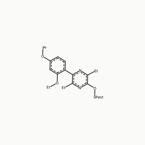 CCCCCOc1nc(CC)c(-c2ccc(OC(C)C)cc2OCC)nc1CC